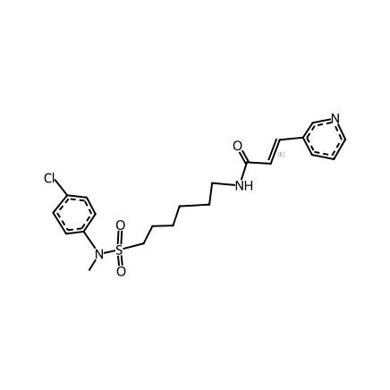 CN(c1ccc(Cl)cc1)S(=O)(=O)CCCCCCNC(=O)/C=C/c1cccnc1